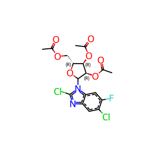 CC(=O)OC[C@H]1OC(n2c(Cl)nc3cc(Cl)c(F)cc32)[C@H](OC(C)=O)[C@@H]1OC(C)=O